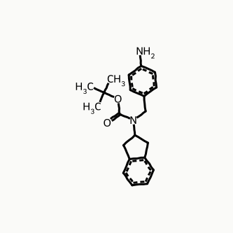 CC(C)(C)OC(=O)N(Cc1ccc(N)cc1)C1Cc2ccccc2C1